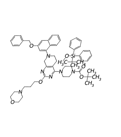 CC(C)(C)OC(=O)N1CCN(c2nc(OCCCN3CCOCC3)nc3c2CCN(c2cc(OCc4ccccc4)cc4ccccc24)C3)[C@H](CO[Si](c2ccccc2)(c2ccccc2)C(C)(C)C)C1